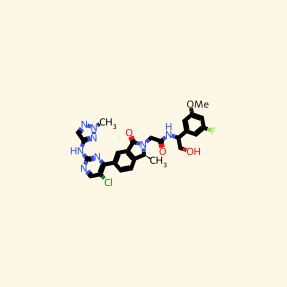 COc1cc(F)cc(C(CO)NC(=O)CN2C(=O)c3cc(-c4nc(Nc5cnn(C)n5)ncc4Cl)ccc3[C@H]2C)c1